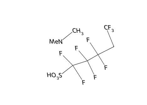 CNC.O=S(=O)(O)C(F)(F)C(F)(F)C(F)(F)CC(F)(F)F